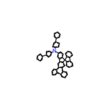 c1ccc(-c2ccc(N(c3ccc(-c4ccccc4)cc3)c3ccc4c(c3)-c3cc5c6ccccc6c6ccccc6c5cc3C43c4ccccc4-c4ccccc43)cc2)cc1